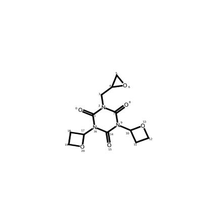 O=c1n(CC2CO2)c(=O)n(C2CCO2)c(=O)n1C1CCO1